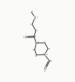 CSCCC(=O)N1CCN(C=O)CC1